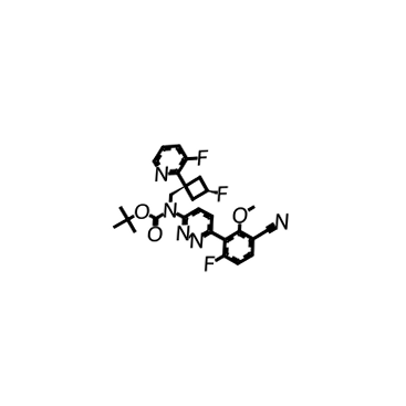 COc1c(C#N)ccc(F)c1-c1ccc(N(C[C@]2(c3ncccc3F)C[C@H](F)C2)C(=O)OC(C)(C)C)nn1